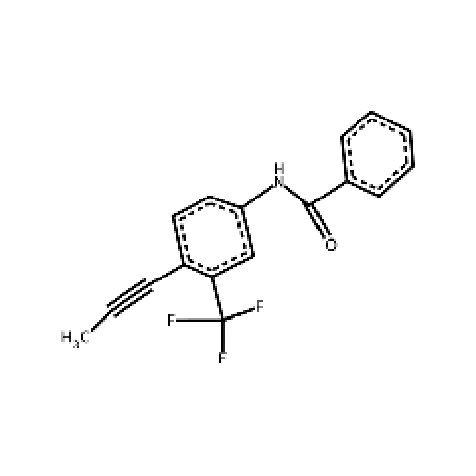 CC#Cc1ccc(NC(=O)c2ccccc2)cc1C(F)(F)F